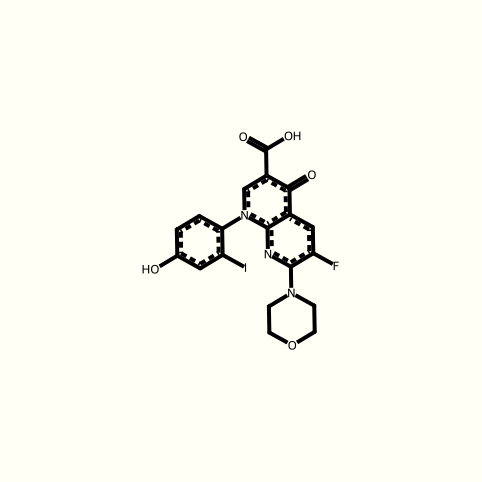 O=C(O)c1cn(-c2ccc(O)cc2I)c2nc(N3CCOCC3)c(F)cc2c1=O